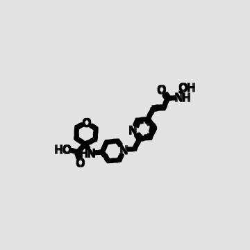 O=C(C=Cc1ccc(CN2CCC(NC3(C(=O)O)CCOCC3)CC2)nc1)NO